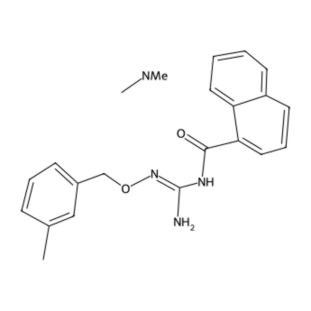 CNC.Cc1cccc(CON=C(N)NC(=O)c2cccc3ccccc23)c1